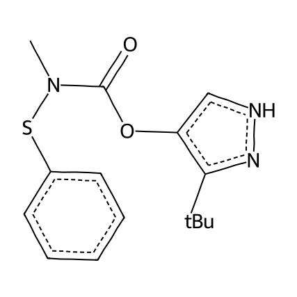 CN(Sc1ccccc1)C(=O)Oc1c[nH]nc1C(C)(C)C